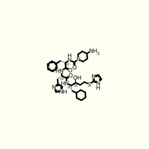 NC1CCN(C(=O)N[C@@H](Cc2ccccc2)C(=O)N[C@@H](Cc2c[nH]cn2)C(=O)N[C@@H](CC2CCCCC2)[C@@H](O)CCSc2ncc[nH]2)CC1